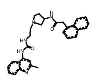 Cc1cc(NC(=O)NCCN2CCC(NC(=O)Cc3cccc4ccccc34)C2)c2ccccc2n1